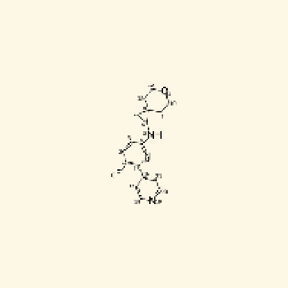 Fc1ccc(NC2CC23CCOCC3)nc1-c1ccncc1